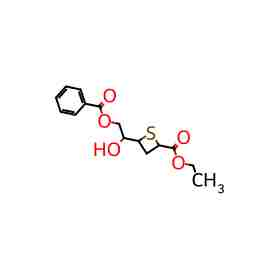 CCOC(=O)C1CC([C@@H](O)COC(=O)c2ccccc2)S1